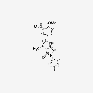 COc1ccc(-c2cc(C)c3c(n2)CN(c2cn[nH]c2)C3=O)nc1OC